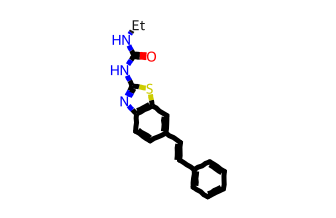 CCNC(=O)Nc1nc2ccc(C=Cc3ccccc3)cc2s1